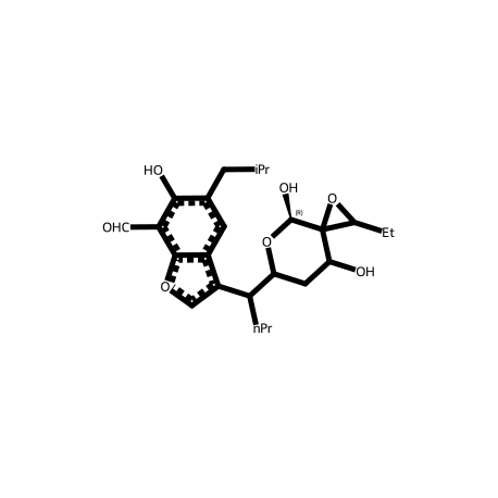 CCCC(c1coc2c(C=O)c(O)c(CC(C)C)cc12)C1CC(O)C2(OC2CC)[C@H](O)O1